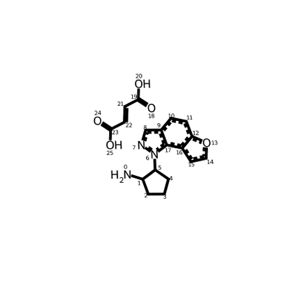 NC1CCCC1n1ncc2ccc3occc3c21.O=C(O)C=CC(=O)O